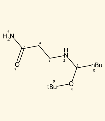 CCCCC(NCCC(N)=O)OC(C)(C)C